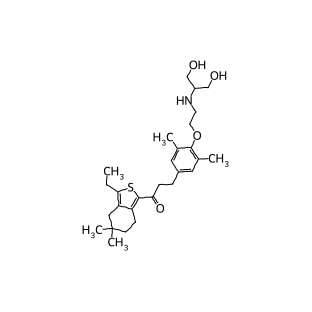 CCc1sc(C(=O)CCc2cc(C)c(OCCNC(CO)CO)c(C)c2)c2c1CC(C)(C)CC2